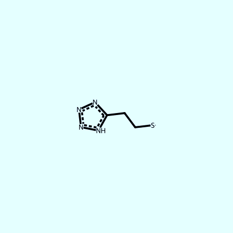 [S]CCc1nnn[nH]1